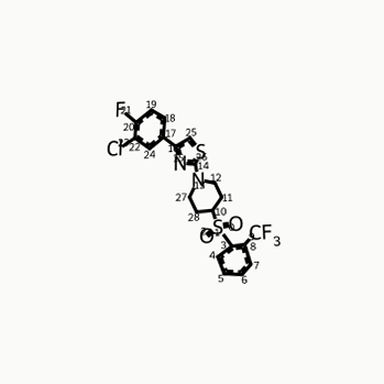 O=S(=O)(c1ccccc1C(F)(F)F)C1CCN(c2nc(-c3ccc(F)c(Cl)c3)cs2)CC1